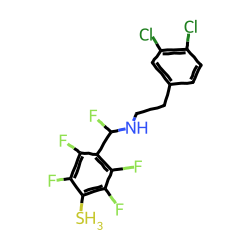 Fc1c(F)c(C(F)NCCc2ccc(Cl)c(Cl)c2)c(F)c(F)c1[SH3]